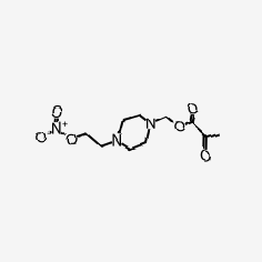 CC(=O)C(=O)OCN1CCN(CCO[N+](=O)[O-])CC1